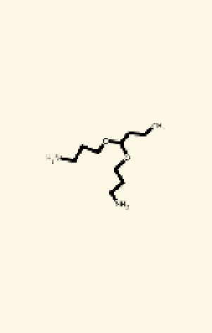 CCCC(OCCCN)OCCCN